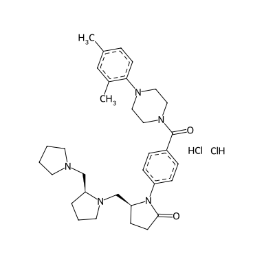 Cc1ccc(N2CCN(C(=O)c3ccc(N4C(=O)CC[C@H]4CN4CCC[C@H]4CN4CCCC4)cc3)CC2)c(C)c1.Cl.Cl